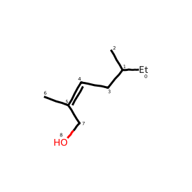 CCC(C)CC=C(C)CO